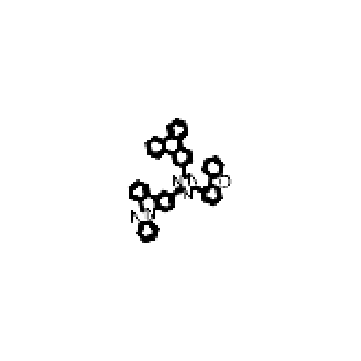 C1=Cc2oc3cccc(-c4nc(-c5ccc6c7ccccc7c7ccccc7c6c5)nc(-c5ccc6c(c5)c5ccccc5c5nc7ccccc7n65)n4)c3c2CC1